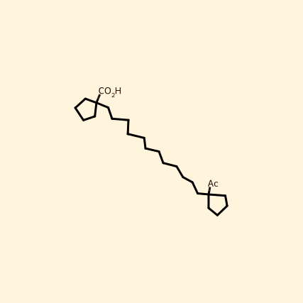 CC(=O)C1(CCCCCCCCCCCCC2(C(=O)O)CCCC2)CCCC1